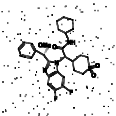 CO[C@@H](c1ccccc1)c1nc2cc(F)c(F)cc2n1C(C(=O)NC1CCCCC1)C1CCS(=O)(=O)CC1